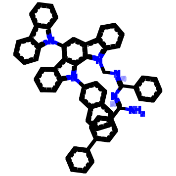 N/C(=N\C(=N/Cn1c2ccccc2c2cc(-n3c4ccccc4c4ccccc43)c3c4ccccc4n(-c4ccc5ccccc5c4)c3c21)c1ccccc1)c1ccc(-c2ccccc2)cc1